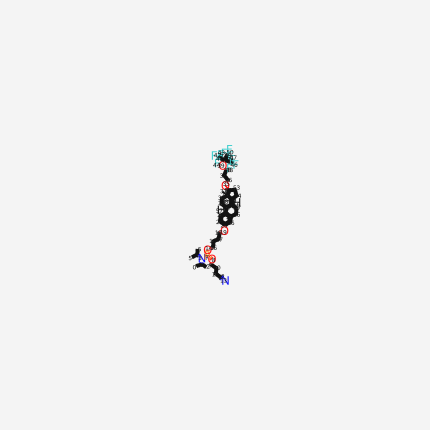 CC(C)N(C(C)C)P(OCCCC#N)OCCCCOc1ccc2c(c1)CC[C@@H]1[C@@H]2CC[C@]2(C)[C@@H](OCCCOC(C(F)(F)F)(C(F)(F)F)C(F)(F)F)CC[C@@H]12